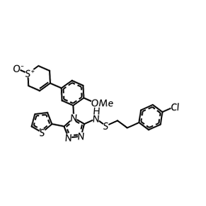 COc1ccc(C2=CC[S+]([O-])CC2)cc1-n1c(NSCCc2ccc(Cl)cc2)nnc1-c1cccs1